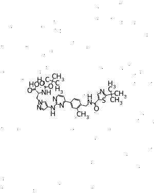 Cc1cc(-c2ccnc(Nc3cnn(C[C@H](NC(=O)OC(C)(C)C)C(=O)O)c3)n2)ccc1CNC(=O)c1cnc(C(C)(C)C)s1